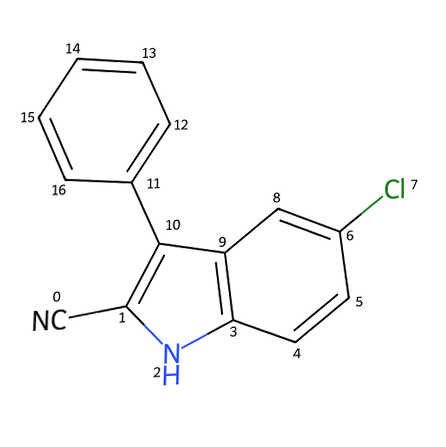 N#Cc1[nH]c2ccc(Cl)cc2c1-c1ccccc1